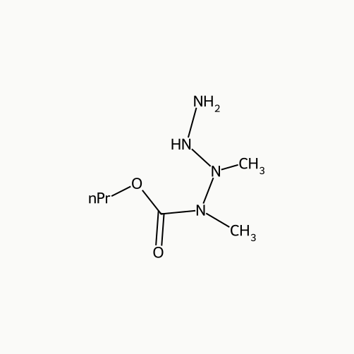 CCCOC(=O)N(C)N(C)NN